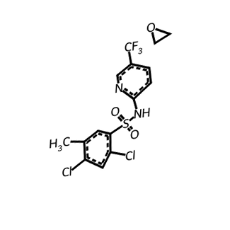 C1CO1.Cc1cc(S(=O)(=O)Nc2ccc(C(F)(F)F)cn2)c(Cl)cc1Cl